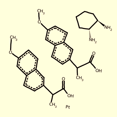 COc1ccc2cc(C(C)C(=O)O)ccc2c1.COc1ccc2cc(C(C)C(=O)O)ccc2c1.N[C@@H]1CCCC[C@H]1N.[Pt]